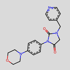 O=C1CN(Cc2ccncc2)C(=O)N1c1ccc(N2CCOCC2)cc1